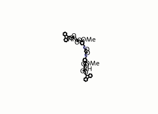 COc1cc(/C=C/C(=O)CC(=O)/C=C/c2ccc(OC(=O)CNC(=O)OCC3c4ccccc4-c4ccccc43)c(OC)c2)ccc1OC(=O)CNC(=O)OCC1c2ccccc2-c2ccccc21